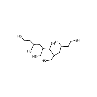 SCCC(S)CC(CS)C(S)C(CS)CC(S)CCS